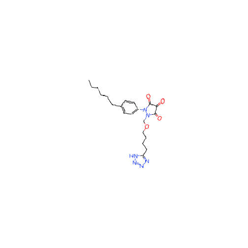 CCCCCCc1ccc(N2C(=O)C(=O)C(=O)N2COCCCCc2nnn[nH]2)cc1